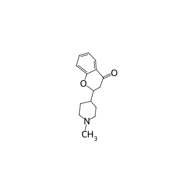 CN1CCC(C2CC(=O)c3ccccc3O2)CC1